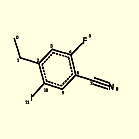 CCc1cc(F)c(C#N)cc1I